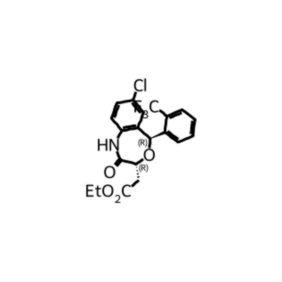 CCOC(=O)C[C@H]1O[C@H](c2ccccc2C(F)(F)F)c2cc(Cl)ccc2NC1=O